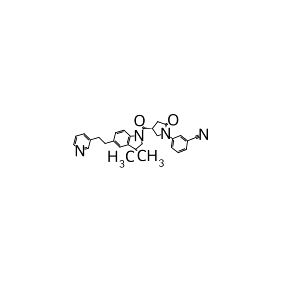 CC1(C)CN(C(=O)[C@H]2CC(=O)N(c3cccc(C#N)c3)C2)c2ccc(CCc3cccnc3)cc21